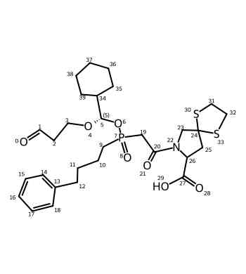 O=CCCO[C@@H](OP(=O)(CCCCc1ccccc1)CC(=O)N1CC2(CC1C(=O)O)SCCS2)C1CCCCC1